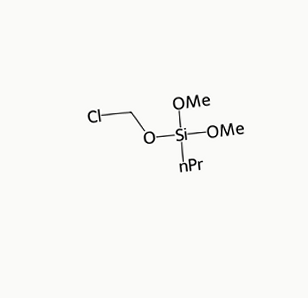 CCC[Si](OC)(OC)OCCl